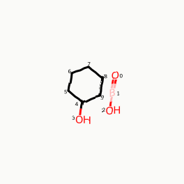 O=BO.OC1CCCCC1